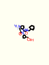 C#CC(=O)N(c1cccc(CO)c1)C(C(=O)NCc1ccccc1)c1cccc(N)c1